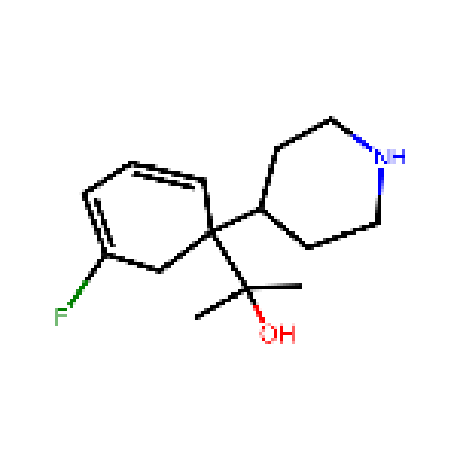 CC(C)(O)C1(C2CCNCC2)C=CC=C(F)C1